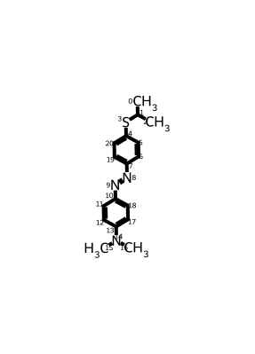 CC(C)Sc1ccc(N=Nc2ccc(N(C)C)cc2)cc1